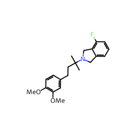 COc1ccc(CCC(C)(C)N2Cc3cccc(F)c3C2)cc1OC